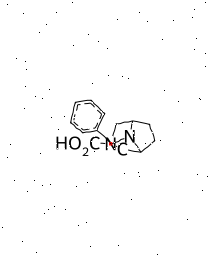 O=C(O)N1CC2CCC(C1)N2Cc1ccccc1